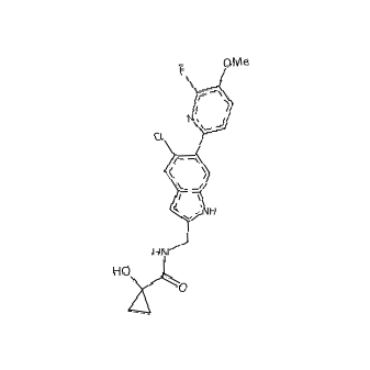 COc1ccc(-c2cc3[nH]c(CNC(=O)C4(O)CC4)cc3cc2Cl)nc1F